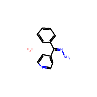 NN=C(c1ccccc1)c1ccncc1.O